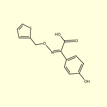 O=C(O)/C(=N\OCc1cccs1)c1ccc(O)cc1